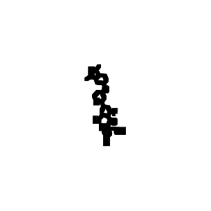 CCc1cc(-c2cc(Oc3ccc4c(C)nn(C)c4c3)ccn2)cc(F)c1C(=O)NC1(CO)CNC1